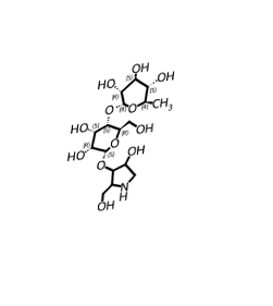 C[C@H]1O[C@H](O[C@H]2[C@@H](O)[C@@H](O)[C@@H](OC3C(O)CNC3CO)O[C@@H]2CO)[C@H](O)[C@@H](O)[C@@H]1O